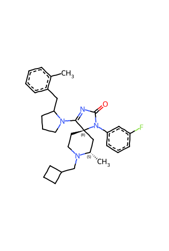 Cc1ccccc1CC1CCCN1C1=NC(=O)N(c2cccc(F)c2)[C@@]12CCN(CC1CCC1)[C@@H](C)C2